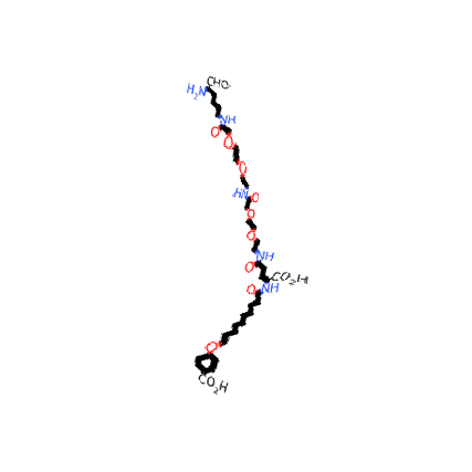 N[C@H]([C]=O)CCCCNC(=O)COCCOCCNC(=O)COCCOCCNC(=O)CC[C@H](NC(=O)CCCCCCCCCOc1ccc(C(=O)O)cc1)C(=O)O